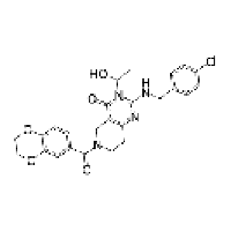 CC(O)n1c(NCc2ccc(Cl)cc2)nc2c(c1=O)CN(C(=O)c1ccc3c(c1)OCCO3)CC2